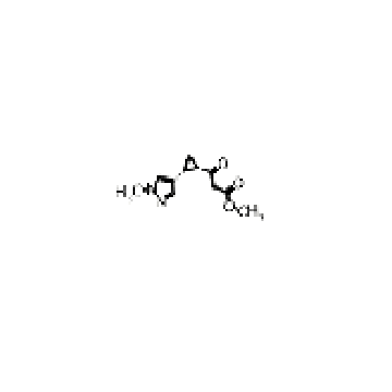 COC(=O)CC(=O)[C@@H]1C[C@H]1c1cnn(C)c1